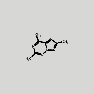 Cc1nc(C)c2nc(C)nn2n1